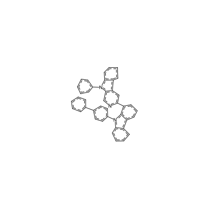 c1ccc(-c2ccc(-n3c4ccccc4c4cccc(-c5cc6c7ccccc7n(-c7ccccc7)c6cn5)c43)cc2)cc1